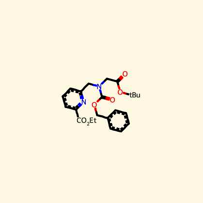 CCOC(=O)c1cccc(CN(CC(=O)OC(C)(C)C)C(=O)OCc2ccccc2)n1